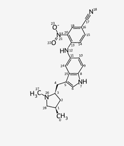 C[C@@H]1C[C@H](Cc2c[nH]c3ccc(Nc4ccc(C#N)cc4[N+](=O)[O-])cc23)N(C)C1